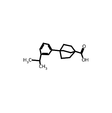 CC(C)c1cccc(C23CCC(C(=O)O)(CC2)CC3)c1